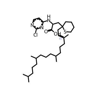 C/C(=C\CC1(CC(Nc2ccnc(Cl)n2)C(=O)O)CCCCS1)CCCC(C)CCCC(C)CCCC(C)C